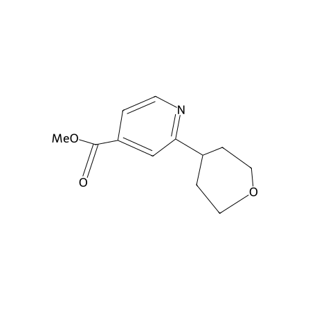 COC(=O)c1ccnc(C2CCOCC2)c1